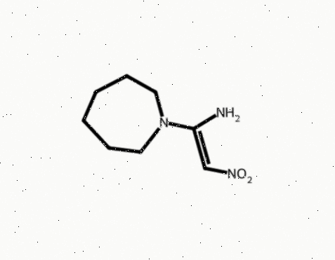 NC(=C[N+](=O)[O-])N1CCCCCC1